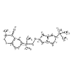 CN1CCc2ccc(C(C)(C)CCn3cc4ccc(C(C)(C)C)cc4n3)cc2C1=O